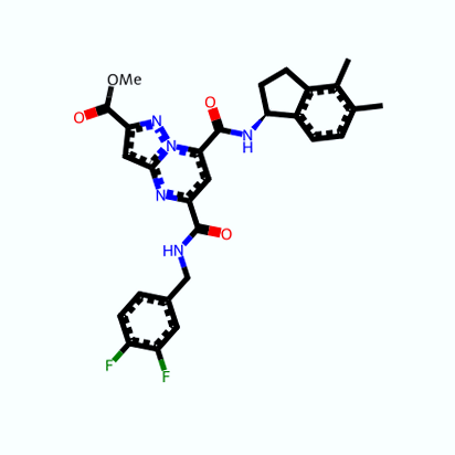 COC(=O)c1cc2nc(C(=O)NCc3ccc(F)c(F)c3)cc(C(=O)N[C@H]3CCc4c3ccc(C)c4C)n2n1